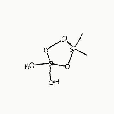 C[Si]1(C)OO[Si](O)(O)O1